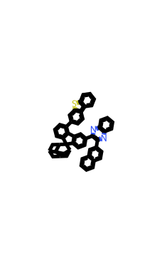 c1cc(-c2ccc3c(c2)sc2ccccc23)c2c(c1)C1(c3ccc(-c4nc5ccccc5nc4-c4ccc5ccccc5c4)cc3-2)C2CC3CC(C2)CC1C3